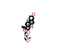 C#CC1(OC(=O)CN2CCOCC2)CC[C@H]2[C@@H]3CCC4=CC(=O)CC[C@@H]4[C@H]3CC[C@@]21CC